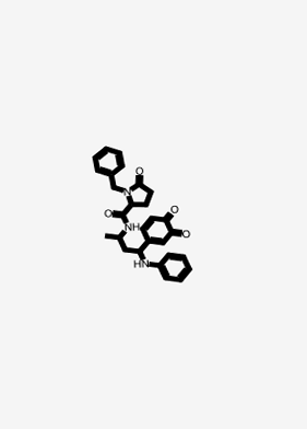 CC(CC(Nc1ccccc1)C1=CC(=O)C(=O)C=C1)NC(=O)C1CCC(=O)N1Cc1ccccc1